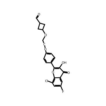 O=CC1CC(OCCOc2ccc(-c3oc4c(Cl)cc(F)cc4c(=O)c3O)cc2)C1